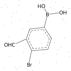 O=Cc1cc(B(O)O)ccc1Br